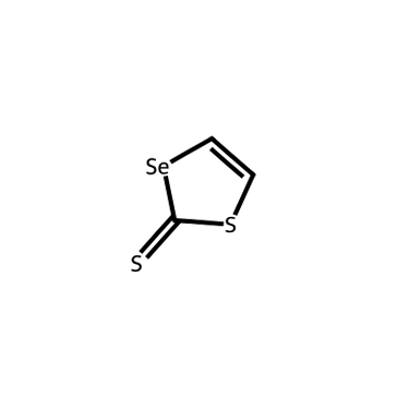 S=c1scc[se]1